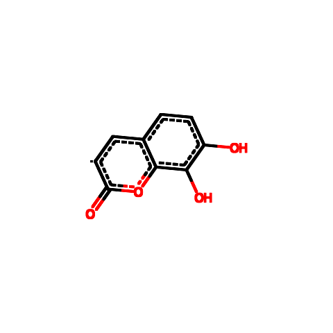 O=c1[c]cc2ccc(O)c(O)c2o1